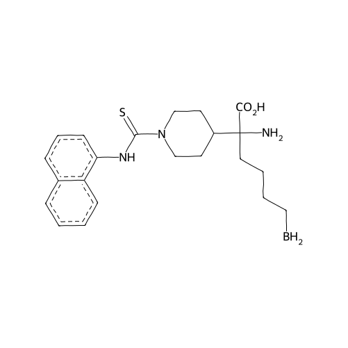 BCCCCC(N)(C(=O)O)C1CCN(C(=S)Nc2cccc3ccccc23)CC1